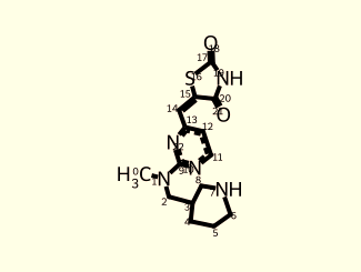 CN(CC1CCCNC1)c1nccc(C=C2SC(=O)NC2=O)n1